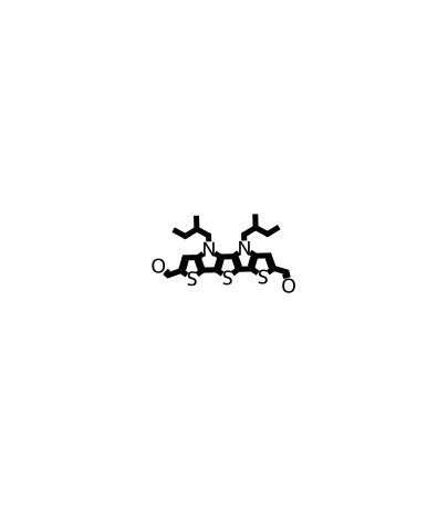 CCC(C)Cn1c2cc(C=O)sc2c2sc3c4sc(C=O)cc4n(CC(C)CC)c3c21